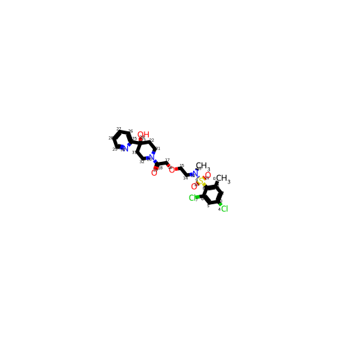 Cc1cc(Cl)cc(Cl)c1S(=O)(=O)N(C)CCOCC(=O)N1CCC(O)(c2ccccn2)CC1